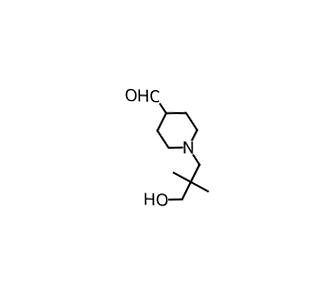 CC(C)(CO)CN1CCC(C=O)CC1